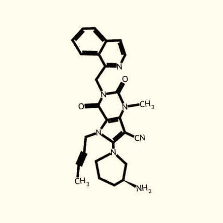 CC#CCn1c(N2CCC[C@H](N)C2)c(C#N)c2c1c(=O)n(Cc1nccc3ccccc13)c(=O)n2C